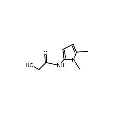 Cc1ccc(NC(=O)CO)n1C